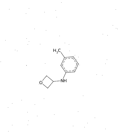 Cc1cccc(NC2COC2)c1